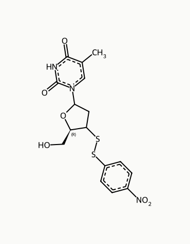 Cc1cn(C2CC(SSc3ccc([N+](=O)[O-])cc3)[C@@H](CO)O2)c(=O)[nH]c1=O